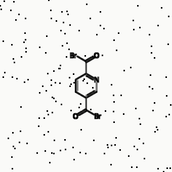 O=C(Br)c1ccc(C(=O)Br)nc1